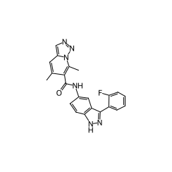 Cc1cc2cnnn2c(C)c1C(=O)Nc1ccc2[nH]nc(-c3ccccc3F)c2c1